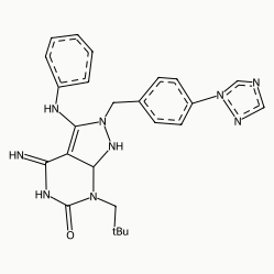 CC(C)(C)CN1C(=O)NC(=N)C2=C(Nc3ccccc3)N(Cc3ccc(-n4cncn4)cc3)NC21